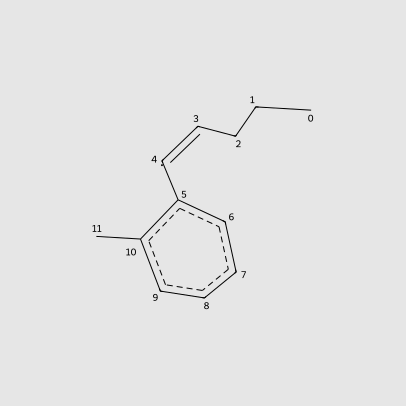 CCC/C=[C]\c1ccccc1C